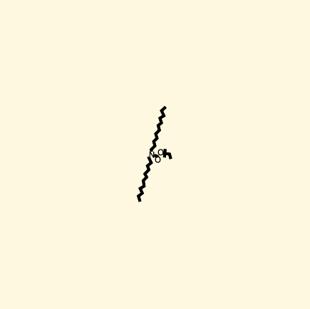 CCCCCCCCCCCCN(CCCCCCCCCCCC)C(=O)OC(C)(C)CC